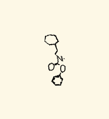 O=C([N]CCC1CCCCCC1)Oc1ccccc1